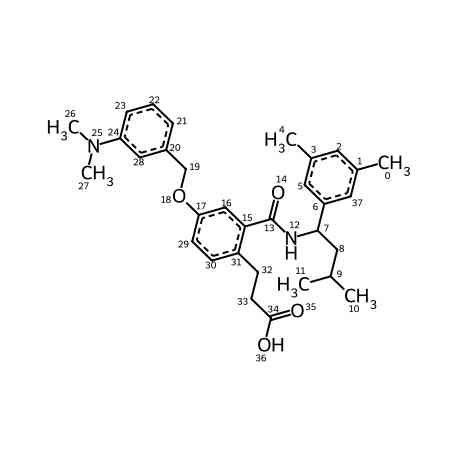 Cc1cc(C)cc(C(CC(C)C)NC(=O)c2cc(OCc3cccc(N(C)C)c3)ccc2CCC(=O)O)c1